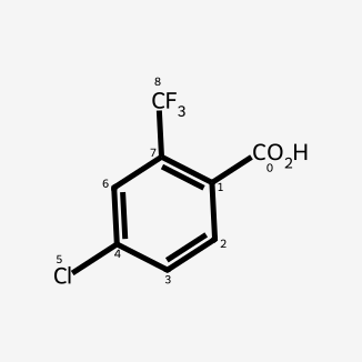 O=C(O)c1ccc(Cl)cc1C(F)(F)F